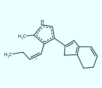 CC/C=C\c1c(C2=CC3=C(CCC=C3)C2)c[nH]c1C